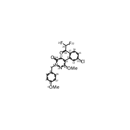 COc1ccc(Cn2nc(OC)c(-c3cc(Cl)ccc3C(=O)C(F)F)cc2=O)cc1